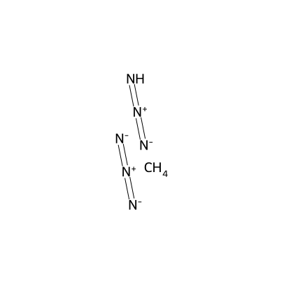 C.[N-]=[N+]=N.[N-]=[N+]=[N-]